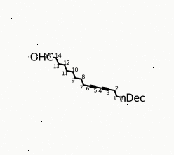 CCCCCCCCCCCCC#CC#CCCCCCCCC[C]=O